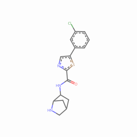 O=C(NC1CC2CNC1C2)c1ncc(-c2cccc(Cl)c2)s1